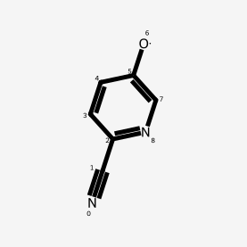 N#Cc1ccc([O])cn1